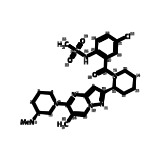 CN[C@H]1CCCN(c2nc3cc([C@@H]4CCCCN4C(=O)c4cc(Cl)ccc4NS(C)(=O)=O)nn3cc2C)C1